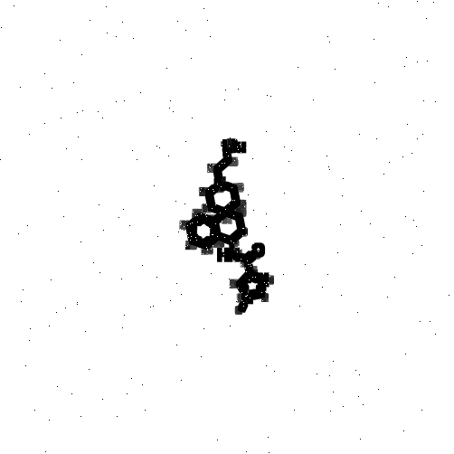 Cn1cnc(C(=O)N[C@H]2CCC3(CCN(CCC(C)(C)C)CC3)c3ccccc32)c1